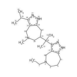 CCN1CCCc2[nH]nc(C(C)(C)C3Cc4[nH]nc(C(C)C)c4CN(C)C3)c2C1